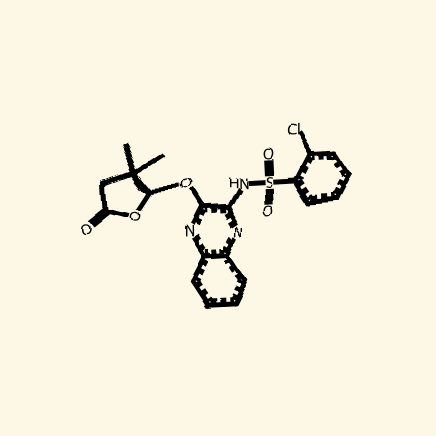 CC1(C)CC(=O)OC1Oc1nc2ccccc2nc1NS(=O)(=O)c1ccccc1Cl